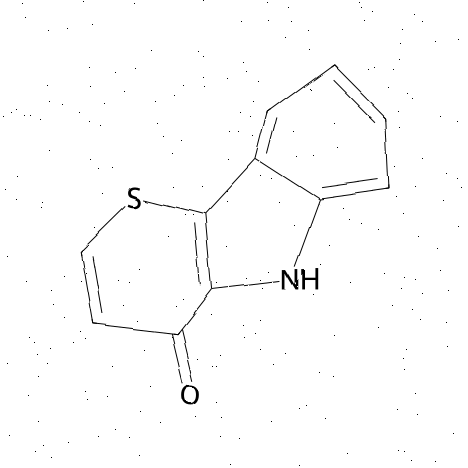 O=c1ccsc2c1[nH]c1ccccc12